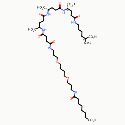 CN[C@@H](CCCCNC(=O)CC[C@H](NC(=O)CC[C@H](NC(=O)CCC(NC(=O)CCC(=O)NCCCOCCCCOCCCNC(=O)CCCCCCC(=O)O)C(=O)O)C(=O)O)C(=O)O)C(=O)O